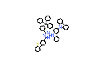 c1ccc([Si](c2ccccc2)(c2ccccc2)c2cccc(-c3nc(-c4ccc5c(c4)sc4ccccc45)nc(-n4c5ccccc5c5cc(-n6c7ccccc7c7ccccc76)ccc54)n3)c2)cc1